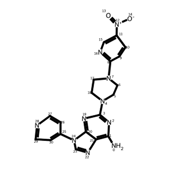 Nc1nc(N2CCN(c3ccc([N+](=O)[O-])cn3)CC2)nc2c1ncn2-c1ccncc1